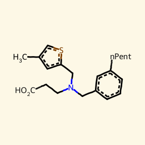 CCCCCc1cccc(CN(CCC(=O)O)Cc2cc(C)cs2)c1